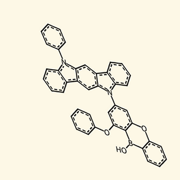 OB1c2ccccc2Oc2cc(-n3c4ccccc4c4cc5c(cc43)c3ccccc3n5-c3ccccc3)cc(Oc3ccccc3)c21